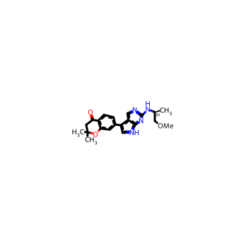 COC[C@H](C)Nc1ncc2c(-c3ccc4c(c3)OC(C)(C)CC4=O)c[nH]c2n1